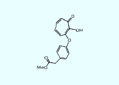 COC(=O)Cc1ccc(Oc2ccccc(=O)c2O)cc1